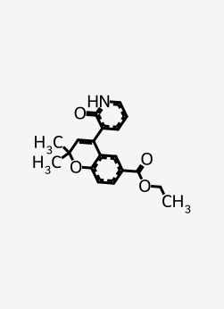 CCOC(=O)c1ccc2c(c1)C(c1ccc[nH]c1=O)=CC(C)(C)O2